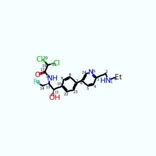 CCNCc1ccc(-c2ccc([C@@H](O)[C@@H](CF)NC(=O)C(Cl)Cl)cc2)cn1